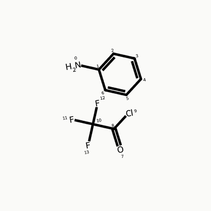 Nc1ccccc1.O=C(Cl)C(F)(F)F